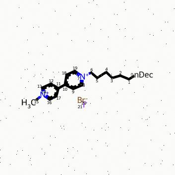 CCCCCCCCCCCCCCCC[n+]1ccc(-c2cc[n+](C)cc2)cc1.[Br-].[I-]